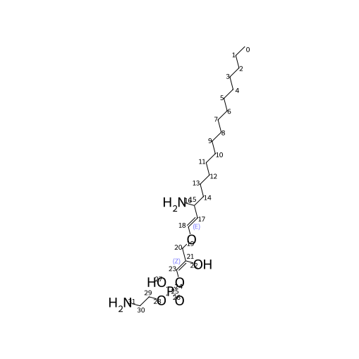 CCCCCCCCCCCCCCCC(N)/C=C/OC/C(O)=C/OP(=O)(O)OCCN